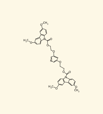 COc1ccc2c(c1)c1cc(OC)ccc1n2C(=O)OCCOc1cncc(OCCOC(=O)n2c3ccc(OC)cc3c3cc(OC)ccc32)c1